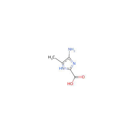 Cc1[nH]c(C(=O)O)nc1N